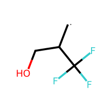 [CH2]C(CO)C(F)(F)F